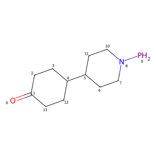 O=C1CCC(C2CCN(P)CC2)CC1